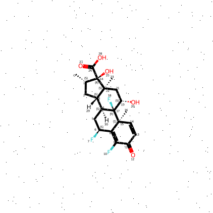 C[C@H]1C[C@H]2[C@@H]3C[C@H](F)C4=C(F)C(=O)C=C[C@]4(C)[C@@]3(F)[C@@H](O)C[C@]2(C)[C@@]1(O)C(=O)O